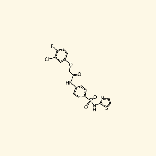 O=C(COc1ccc(F)c(Cl)c1)Nc1ccc(S(=O)(=O)Nc2nccs2)cc1